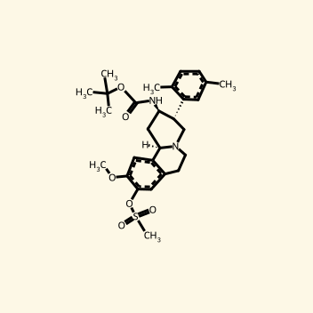 COc1cc2c(cc1OS(C)(=O)=O)CCN1C[C@@H](c3cc(C)ccc3C)[C@H](NC(=O)OC(C)(C)C)C[C@H]21